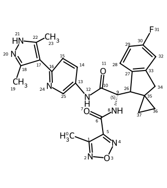 Cc1nonc1C(=O)N[C@H](C(=O)Nc1ccc(-c2c(C)n[nH]c2C)nc1)C1c2ccc(F)cc2CC12CC2